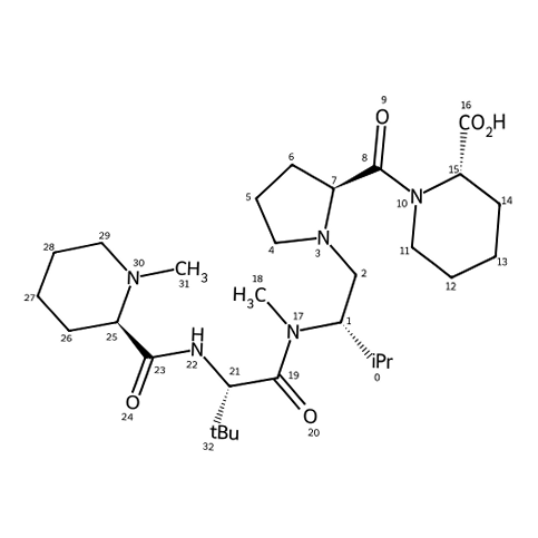 CC(C)[C@@H](CN1CCC[C@H]1C(=O)N1CCCC[C@H]1C(=O)O)N(C)C(=O)[C@@H](NC(=O)[C@H]1CCCCN1C)C(C)(C)C